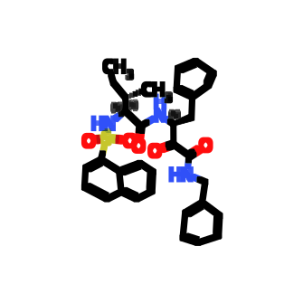 CC[C@H](C)[C@H](NS(=O)(=O)c1cccc2ccccc12)C(=O)N[C@@H](Cc1ccccc1)C(=O)C(=O)NCc1ccccc1